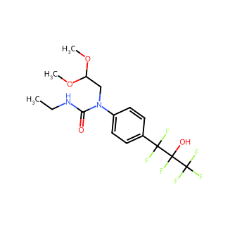 CCNC(=O)N(CC(OC)OC)c1ccc(C(F)(F)C(O)(F)C(F)(F)F)cc1